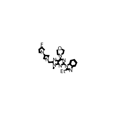 CCc1nc2ccccc2n1-c1nc(N2CCOCC2)c2nc(CN3CC(N4CC[C@H](F)C4)C3)n(C)c2n1